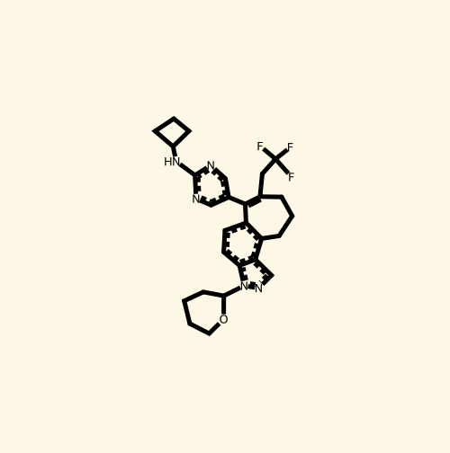 FC(F)(F)CC1=C(c2cnc(NC3CCC3)nc2)c2ccc3c(cnn3C3CCCCO3)c2CCC1